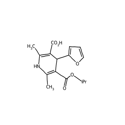 CC1=C(C(=O)O)C(c2ccco2)C(C(=O)OC(C)C)=C(C)N1